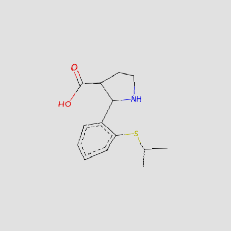 CC(C)Sc1ccccc1C1NCCC1C(=O)O